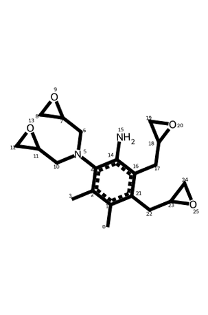 Cc1c(C)c(N(CC2CO2)CC2CO2)c(N)c(CC2CO2)c1CC1CO1